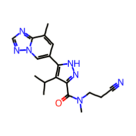 Cc1cc(-c2[nH]nc(C(=O)N(C)CCC#N)c2C(C)C)cn2ncnc12